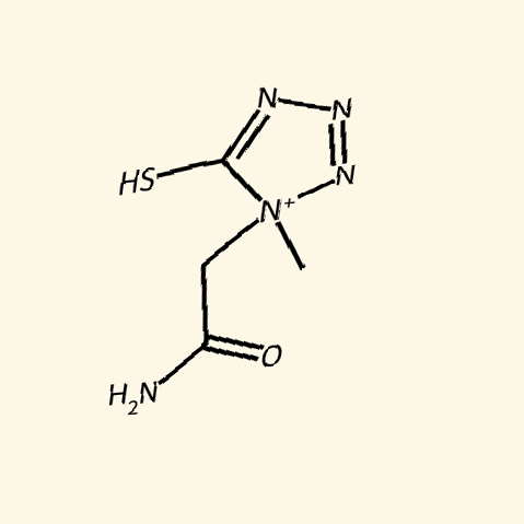 C[N+]1(CC(N)=O)N=NN=C1S